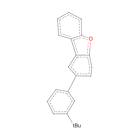 CC(C)(C)c1cccc(-c2ccc3oc4ccccc4c3c2)c1